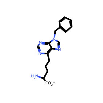 NC(CCCc1ncnc2c1ncn2Cc1ccccc1)C(=O)O